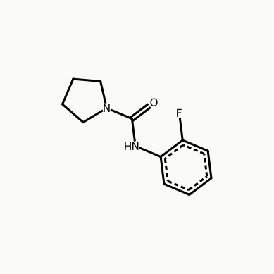 O=C(Nc1ccccc1F)N1CCCC1